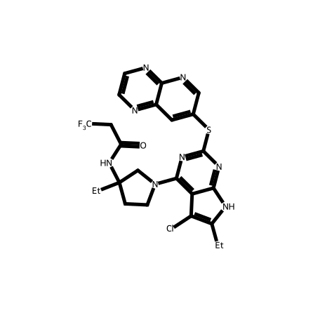 CCc1[nH]c2nc(Sc3cnc4nccnc4c3)nc(N3CCC(CC)(NC(=O)CC(F)(F)F)C3)c2c1Cl